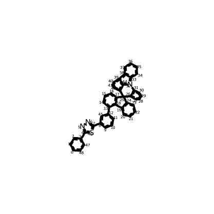 c1ccc(-c2nnc(-c3cccc(-c4cccc5c4-c4ccccc4C54c5ccccc5-n5c6ccccc6c6cccc4c65)c3)s2)cc1